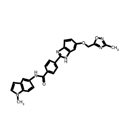 Cc1noc(COc2ccc3nc(-c4ccc(C(=O)Nc5ccc6c(ccn6C)c5)cc4)[nH]c3c2)n1